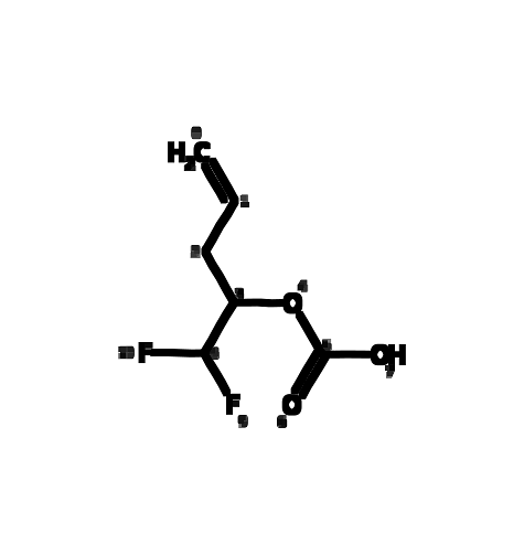 C=CCC(OC(=O)O)C(F)F